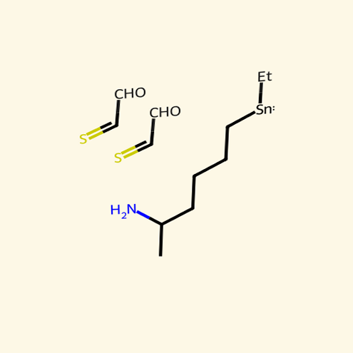 C[CH2][Sn][CH2]CCCC(C)N.O=CC=S.O=CC=S